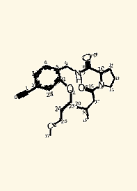 C#Cc1ccc(CNC(=O)C2CCCN2C(=O)CC(C)C)c(OCCCOC)c1